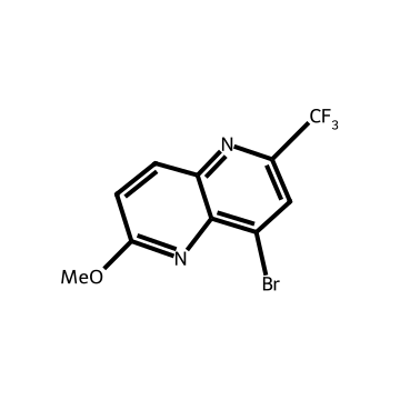 COc1ccc2nc(C(F)(F)F)cc(Br)c2n1